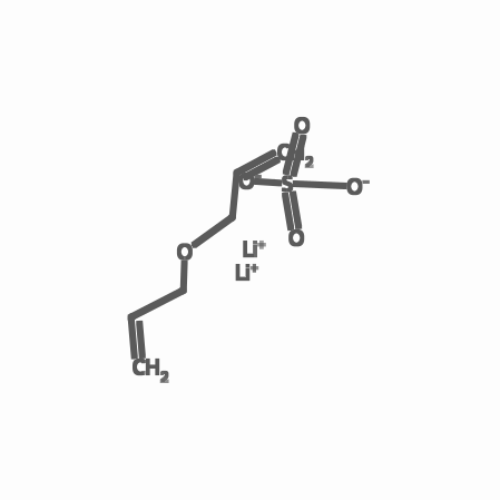 C=CCOCC=C.O=S(=O)([O-])[O-].[Li+].[Li+]